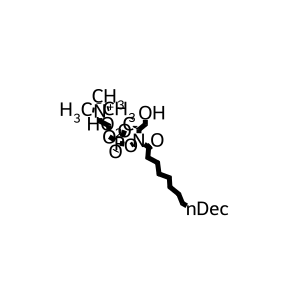 CCCCCCCCCCCCCCCCCC(=O)N(OP(=O)([O-])OCC[N+](C)(C)C)[C@@H](CO)C(=O)O